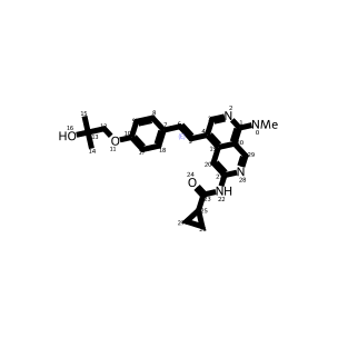 CNc1ncc(/C=C/c2ccc(OCC(C)(C)O)cc2)c2cc(NC(=O)C3CC3)ncc12